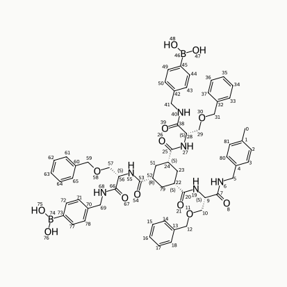 Cc1ccc(CNC(=O)[C@H](COCc2ccccc2)NC(=O)[C@H]2C[C@@H](C(=O)N[C@@H](COCc3ccccc3)C(=O)NCc3ccc(B(O)O)cc3)C[C@@H](C(=O)N[C@@H](COCc3ccccc3)C(=O)NCc3ccc(B(O)O)cc3)C2)cc1